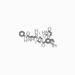 CC(C)n1ccc2c(N3CCC(=O)NC3=O)cc(C(=O)N3CCN(/C(N)=C/C=C(\N)C(=O)NC4CCCCC4)CC3)cc21